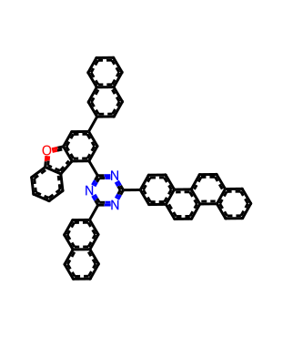 c1ccc2cc(-c3cc(-c4nc(-c5ccc6ccccc6c5)nc(-c5ccc6c(ccc7c8ccccc8ccc67)c5)n4)c4c(c3)oc3ccccc34)ccc2c1